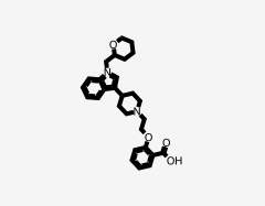 O=C(O)c1ccccc1OCCN1CCC(c2cn(CC3CCCCO3)c3ccccc23)CC1